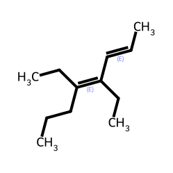 C/C=C/C(CC)=C(\CC)CCC